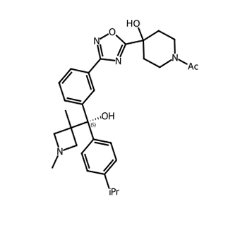 CC(=O)N1CCC(O)(c2nc(-c3cccc([C@@](O)(c4ccc(C(C)C)cc4)C4(C)CN(C)C4)c3)no2)CC1